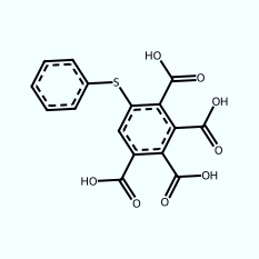 O=C(O)c1cc(Sc2ccccc2)c(C(=O)O)c(C(=O)O)c1C(=O)O